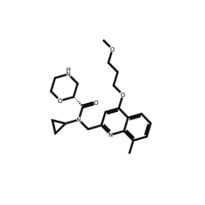 COCCCOc1cc(CN(C(=O)[C@H]2CNCCO2)C2CC2)nc2c(C)cccc12